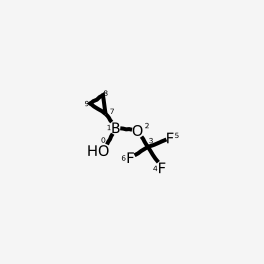 OB(OC(F)(F)F)C1CC1